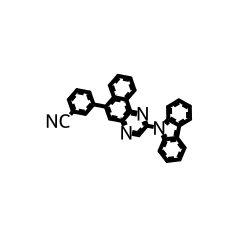 N#Cc1cccc(-c2cc3ncc(-n4c5ccccc5c5ccccc54)nc3c3ccccc23)c1